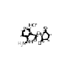 Cl.NNc1ccncc1C(=O)ON1C(=O)CCC1=O